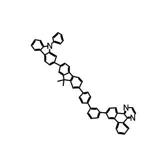 CC1(C)c2cc(-c3ccc(-c4cccc(-c5ccc6c(c5)c5ccccc5c5nccnc65)c4)cc3)ccc2-c2ccc(-c3ccc4c5ccccc5n(-c5ccccc5)c4c3)cc21